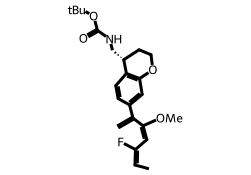 C=C(/C(=C\C(F)=C/C)OC)c1ccc2c(c1)OCC[C@H]2CNC(=O)OC(C)(C)C